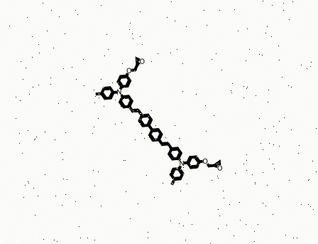 Cc1ccc(N(c2ccc(/C=C/c3ccc(-c4ccc(/C=C/c5ccc(N(c6ccc(C)cc6)c6ccc(OCC7CO7)cc6)cc5)cc4)cc3)cc2)c2ccc(OCC3CO3)cc2)cc1